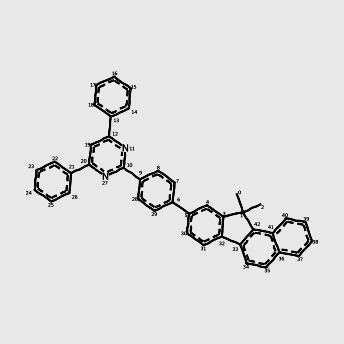 CC1(C)c2cc(-c3ccc(-c4nc(-c5ccccc5)cc(-c5ccccc5)n4)cc3)ccc2-c2ccc3ccccc3c21